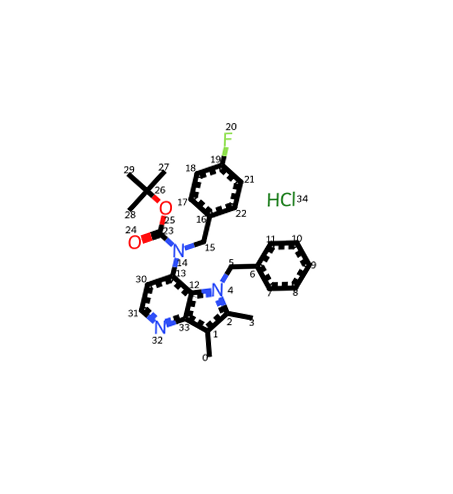 Cc1c(C)n(Cc2ccccc2)c2c(N(Cc3ccc(F)cc3)C(=O)OC(C)(C)C)ccnc12.Cl